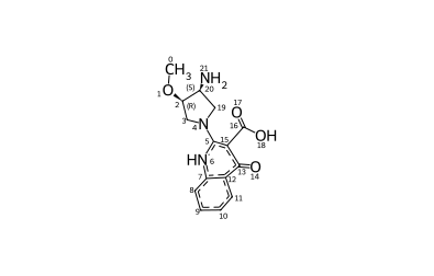 CO[C@@H]1CN(c2[nH]c3ccccc3c(=O)c2C(=O)O)C[C@@H]1N